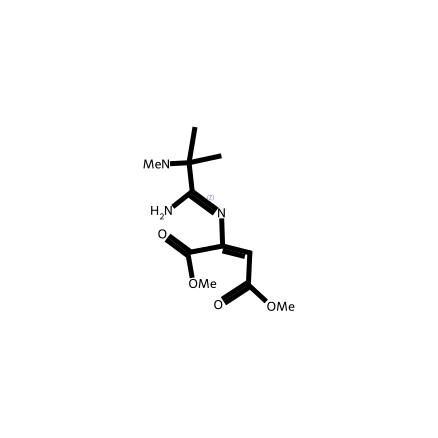 CNC(C)(C)/C(N)=N/C(=CC(=O)OC)C(=O)OC